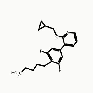 O=C(O)CCCCc1c(F)cc(-c2cccnc2OCC2CC2)cc1F